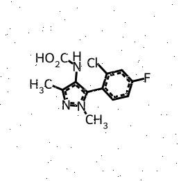 Cc1nn(C)c(-c2ccc(F)cc2Cl)c1NC(=O)O